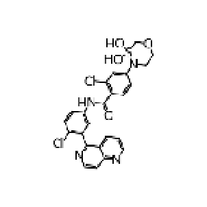 O=C(Nc1ccc(Cl)c(-c2nccc3ncccc23)c1)c1ccc(N2CCOCS2(O)O)cc1Cl